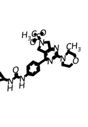 CC1COCCN1c1nc2c(c(-c3ccc(NC(=O)NC4CC4)cc3)n1)CN(S(C)(=O)=O)C2